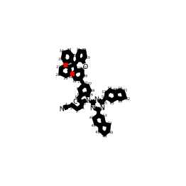 N#Cc1ccc2c(c1)c1cc(-c3ccc4c(c3)Oc3ccccc3C4(c3ccccc3)c3ccccc3)ccc1n2-c1nc(-c2ccc3ccccc3c2)nc(-c2ccc3ccccc3c2)n1